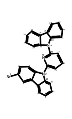 Brc1ccc2c(c1)c1ccccc1n2-c1cccc(-n2c3ccccc3c3ccccc32)n1